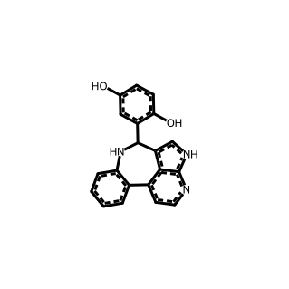 Oc1ccc(O)c(C2Nc3ccccc3-c3ccnc4[nH]cc2c34)c1